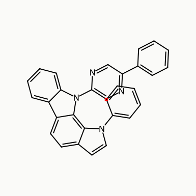 c1ccc(-c2cnc(-n3c4ccccc4c4ccc5ccn(-c6ccccc6)c5c43)cn2)cc1